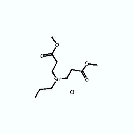 CC[CH2][Sn+]([CH2]CC(=O)OC)[CH2]CC(=O)OC.[Cl-]